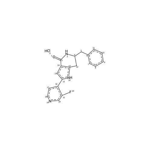 Cl.O=C1NC(Cc2ccccc2)Cc2[nH]c(-c3ccncc3F)cc21